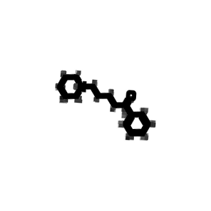 O=C(CCCCN1CC[CH]CC1)c1ccccc1